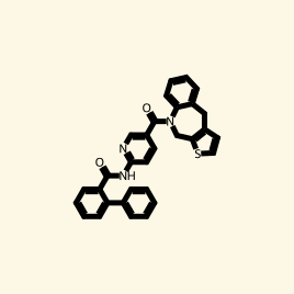 O=C(Nc1ccc(C(=O)N2Cc3sccc3Cc3ccccc32)cn1)c1ccccc1-c1ccccc1